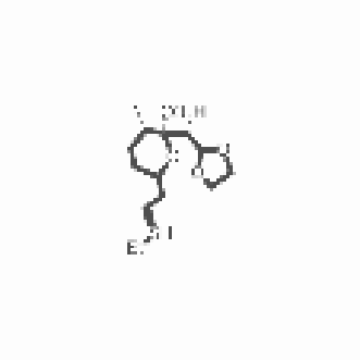 CC[SH]=CCC1CC[C@H](C)[C@](CC2OCCO2)(C(=O)O)O1